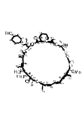 CO[C@H]1C[C@@H](C)CC[C@@H](C)[C@](C)(O)CC(=O)N2CCCCC2C(=O)O[C@H]([C@H](C)C[C@H]2CC[C@H](O)CC2)CC(=O)[C@H](C)/C=C(\C)[C@@H](O)[C@@H](O)C(=O)[C@H](C)C[C@H](C)/C=C/C=C/C=C/1C